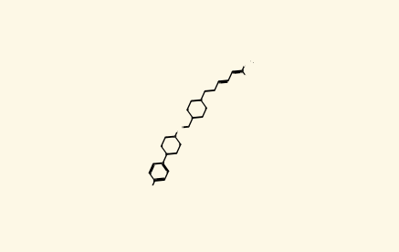 CCc1ccc(C2CCC(OCC3CCC(CCC=CC=C(F)C#N)CC3)CC2)cc1